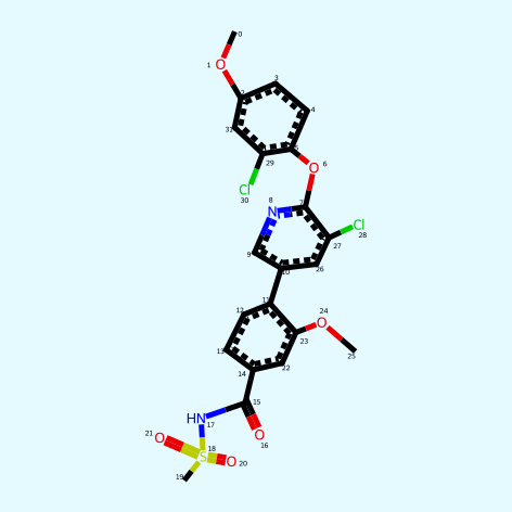 COc1ccc(Oc2ncc(-c3ccc(C(=O)NS(C)(=O)=O)cc3OC)cc2Cl)c(Cl)c1